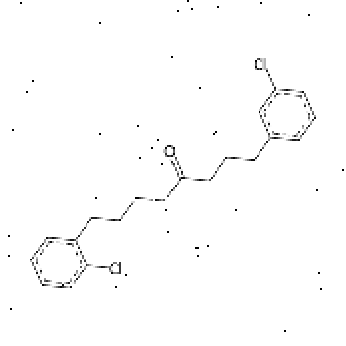 O=C(CCCCc1ccccc1Cl)CCCc1cccc(Cl)c1